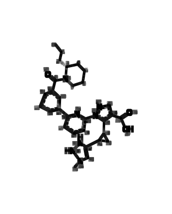 CCC[C@@H]1CCCCN1C(=O)c1cccc(-c2cccc(-n3ncc(C(=O)O)c3C3CC3C3=CN(C)NN3)n2)c1